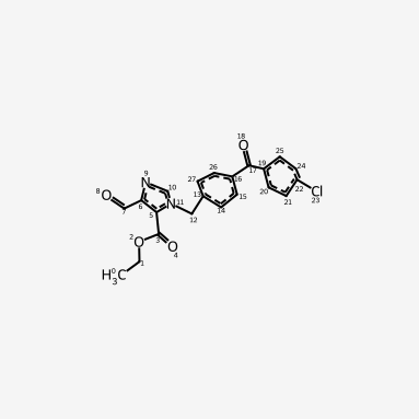 CCOC(=O)c1c(C=O)ncn1Cc1ccc(C(=O)c2ccc(Cl)cc2)cc1